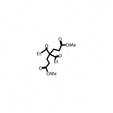 CCC(=O)C(CCC(=O)OC)(CCC(=O)OC)C(=O)CC